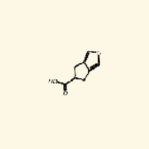 O=C(O)C1Cc2cocc2C1